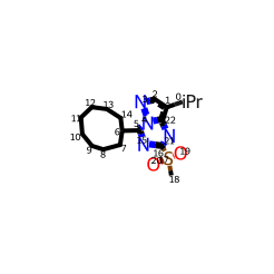 CC(C)c1cnn2c(C3CCCCCCCC3)nc(S(C)(=O)=O)nc12